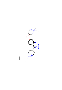 CC(=O)N1CCC(Oc2ccc3c(C4CCN(C(=O)O)CC4)ncnc3c2)C1